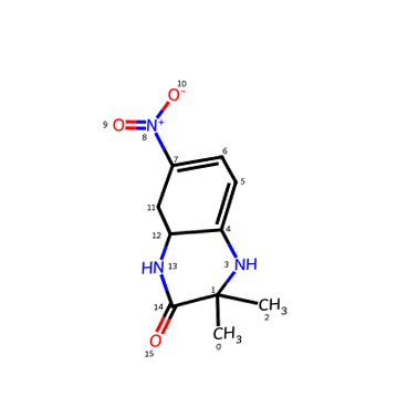 CC1(C)NC2=CC=C([N+](=O)[O-])CC2NC1=O